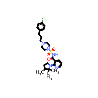 CC1CCN(c2ncccc2C(=O)NS(=O)(=O)N2CCN(CCCc3ccc(Cl)cc3)CC2)C1(C)C